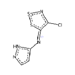 Clc1nss/c1=N\c1ccn[nH]1